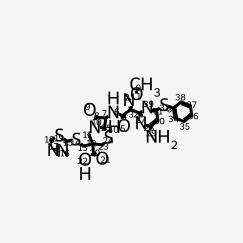 CON=C(C(=O)NC1C(=O)N2CC(CSc3nncs3)(C(=O)O)CS[C@H]12)c1nc(N)cc(Sc2ccccc2)n1